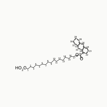 O=C(O)CCCCCCCCCCCCCCCCCOC(=O)c1cccc2cc3ccccc3cc12